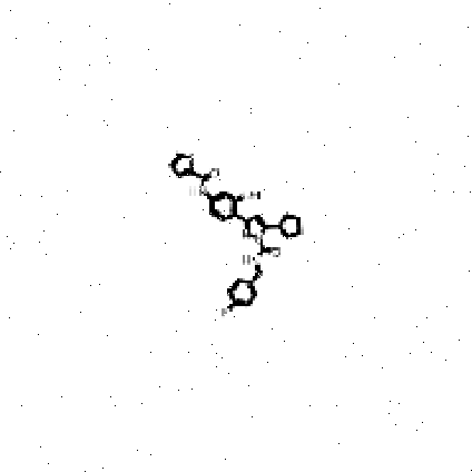 O=C(Nc1ccc(-c2cc(C3CCCC3)n(C(=O)NCc3ccc(F)cc3)n2)c(O)c1)c1cccs1